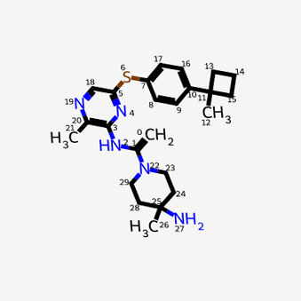 C=C(Nc1nc(Sc2ccc(C3(C)CCC3)cc2)cnc1C)N1CCC(C)(N)CC1